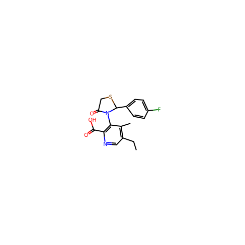 CCc1cnc(C(=O)O)c(N2C(=O)CSC2c2ccc(F)cc2)c1C